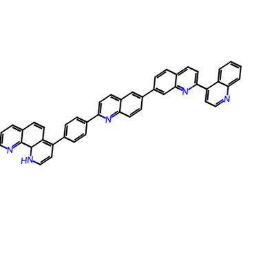 C1=CC(c2ccc(-c3ccc4cc(-c5ccc6ccc(-c7ccnc8ccccc78)nc6c5)ccc4n3)cc2)=C2C=Cc3cccnc3C2N1